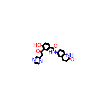 O=C1CCc2cc(NC(=O)c3ccc(O)c(C(=O)Cc4cnccn4)c3)ccc2N1